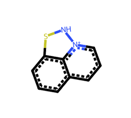 c1cc2c3c(c1)ccc[n+]3NS2